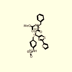 COC(=O)N[C@@H](Cc1ccccc1)C(=O)N[C@@H](CC1C=CC(N[SH](=O)=O)=CC1)c1csc(-c2cccs2)n1